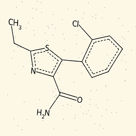 CCc1nc(C(N)=O)c(-c2ccccc2Cl)s1